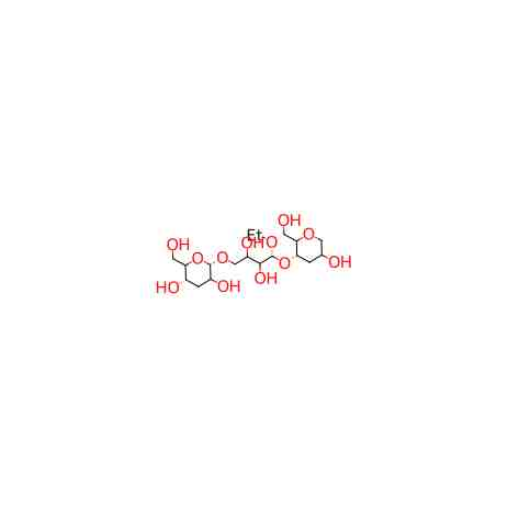 CCO[C@H](O[C@H]1CC(O)COC1CO)C(O)C(O)CO[C@H]1OC(CO)[C@@H](O)CC1O